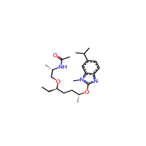 CC[C@H](CC[C@@H](C)Oc1nc2ccc(C(C)C)cc2n1C)OC[C@H](C)NC(C)=O